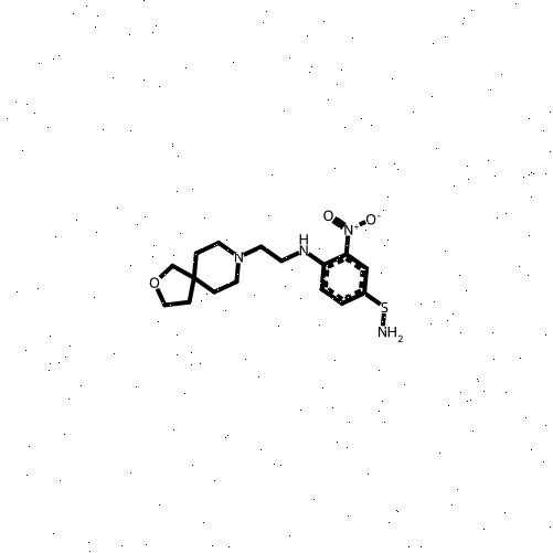 NSc1ccc(NCCN2CCC3(CCOC3)CC2)c([N+](=O)[O-])c1